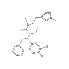 CCC(C(=O)N(C)CCc1cnn(C)c1)N(Cc1ccccc1)c1ccc(F)c(Cl)c1